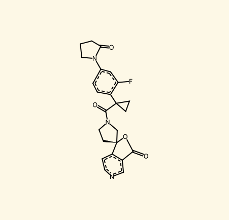 O=C1O[C@]2(CCN(C(=O)C3(c4ccc(N5CCCC5=O)cc4F)CC3)C2)c2ccncc21